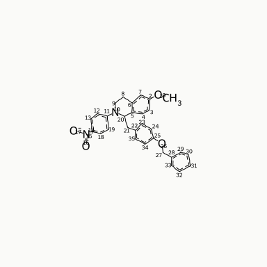 COc1ccc2c(c1)CCN(c1ccc([N+](=O)[O-])cc1)C2Cc1ccc(OCc2ccccc2)cc1